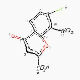 O=C(O)c1cc(=O)c2ccc(F)c([N+](=O)[O-])c2o1